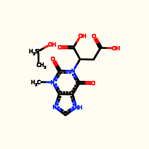 C[SiH2]O.Cn1c(=O)n(C(CC(=O)O)C(=O)O)c(=O)c2[nH]cnc21